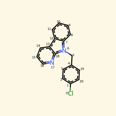 Clc1ccc(Cn2c3ccccc3c3cccnc32)cc1